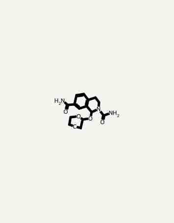 NC(=O)c1ccc2c(c1)C(OC1CCCCO1)N(C(N)=O)CC2